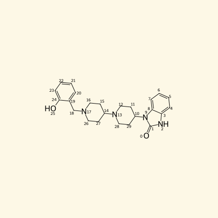 O=c1[nH]c2ccccc2n1C1CCN(C2CCN(Cc3ccccc3O)CC2)CC1